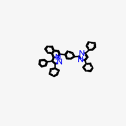 c1ccc(-c2cc(-c3ccccc3)nc(-c3ccc(-c4cc5ccccc5c5c(-c6ccccc6)c(-c6ccccc6)nn45)cc3)n2)cc1